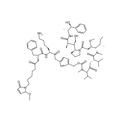 CC[C@H](C)[C@@H]([C@@H](CC(=O)N1CCC[C@H]1[C@H](CO)[C@@H](C)C(=O)N[C@H](C)[C@@H](O)c1ccccc1)OC)N(C)C(=O)[C@@H](CC(=O)C(C(C)C)N(C)C(=O)OCc1ccc(CC(=O)[C@H](CCCCN)NC(=O)[C@@H](CC(=O)CCCCCN2C(=O)C=CC2OC)Cc2ccccc2)cc1)C(C)C